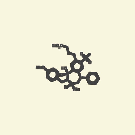 CCCCC1(CC)CN(c2ccccc2)c2cc(S(C)(=O)=O)c(CSCC(=O)OCC)cc2S(O)(O)N1Cc1ccc(OC)cc1